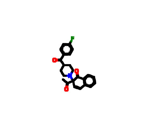 CC(=O)C1(N2CCC(C(=O)c3ccc(F)cc3)CC2)C=Cc2ccccc2C1=O